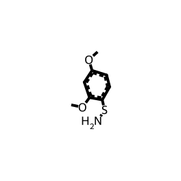 COc1ccc(SN)c(OC)c1